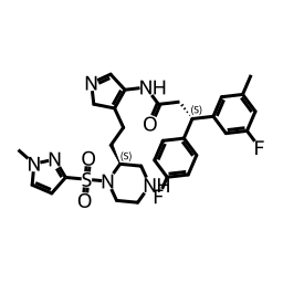 Cc1cc(F)cc([C@@H](CC(=O)NC2=C(CC[C@H]3CNCCN3S(=O)(=O)c3ccn(C)n3)CN=C2)c2ccc(F)cc2)c1